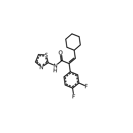 O=C(Nc1nccs1)C(=CC1CCCCC1)c1ccc(F)c(F)c1